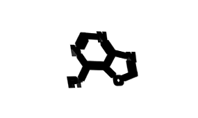 CC(C)c1ncnc2ncoc12